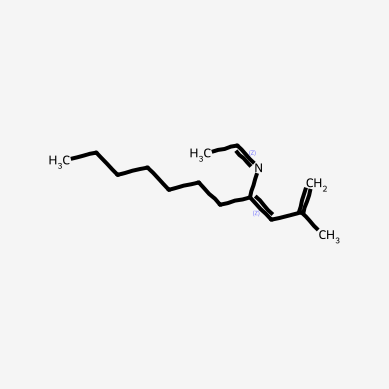 C=C(C)/C=C(CCCCCCC)\N=C/C